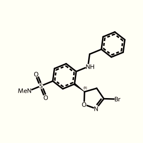 CNS(=O)(=O)c1ccc(NCc2ccccc2)c([C@H]2CC(Br)=NO2)c1